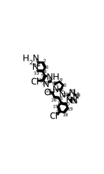 Nc1ccc(-c2[nH]c([C@@H]3CCc4nc(-c5cc(Cl)ccc5-n5cnnn5)cc(=O)n43)nc2Cl)cn1